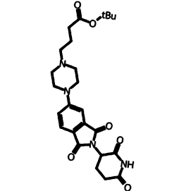 CC(C)(C)OC(=O)CCCN1CCN(c2ccc3c(c2)C(=O)N(C2CCC(=O)NC2=O)C3=O)CC1